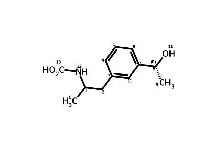 CC(Cc1cccc([C@@H](C)O)c1)NC(=O)O